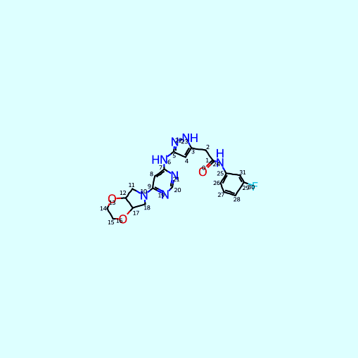 O=C(Cc1cc(Nc2cc(N3CC4OCCOC4C3)ncn2)n[nH]1)Nc1cccc(F)c1